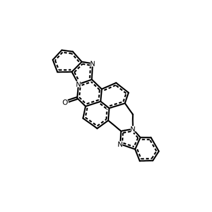 O=c1c2ccc3c4c(ccc(c42)c2nc4ccccc4n12)Cn1c-3nc2ccccc21